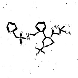 CC(C)(C)OC(=O)N1CCN(C(F)(F)F)CC1c1ccccc1CNNS(=O)(=O)Cc1ccccc1